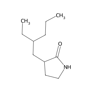 CCCC(CC)CC1CCNC1=O